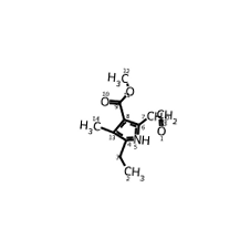 C=O.CCc1[nH]c(C)c(C(=O)OC)c1C